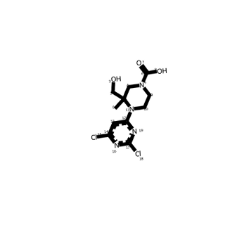 CC1(CO)CN(C(=O)O)CCN1c1cc(Cl)nc(Cl)n1